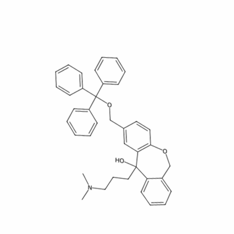 CN(C)CCCC1(O)c2ccccc2COc2ccc(COC(c3ccccc3)(c3ccccc3)c3ccccc3)cc21